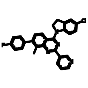 Cc1c(-c2ccc(F)cc2)ccc2c(N3CCc4cc(Cl)ccc43)nc(-c3cccnc3)nc12